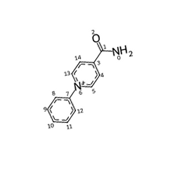 NC(=O)c1cc[n+](-c2ccccc2)cc1